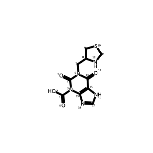 O=C(O)n1c(=O)n(CC2CSCN2)c(=O)c2[nH]cnc21